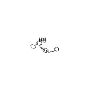 C(=Cc1ccccc1)CN1CCN(Cc2ccccc2C2CCCCC2)CC1.Cl.Cl